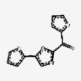 O=C(c1ccco1)c1ncc(-c2ccco2)o1